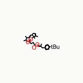 CC1=CCC(/C=C/C(C)C(C)OC(=O)CCC(=O)O/C=C(\C)Cc2ccc(C(C)(C)C)cc2)C1(C)C